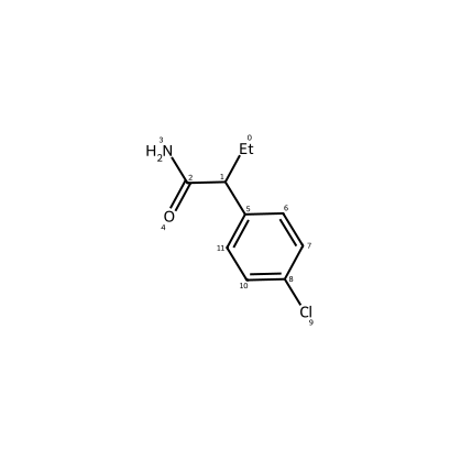 CCC(C(N)=O)c1ccc(Cl)cc1